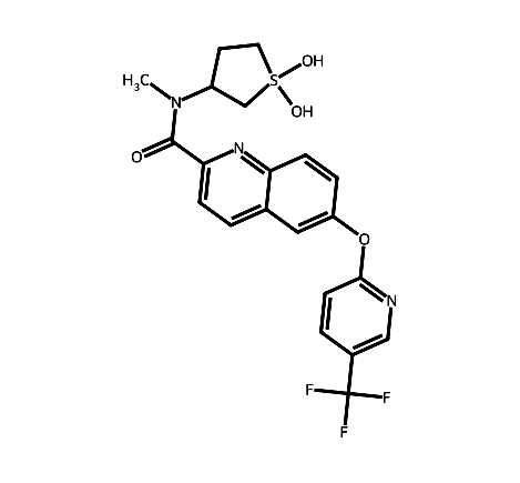 CN(C(=O)c1ccc2cc(Oc3ccc(C(F)(F)F)cn3)ccc2n1)C1CCS(O)(O)C1